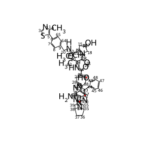 Cc1ncsc1-c1ccc(CNC(=O)[C@@H]2C[C@@H](O)CN2C(=O)[C@@H](NC(=O)[C@@H]2CC=C(c3cnc(N4C5CCC4CN(c4cc(-c6ccccc6O)nnc4N)C5)nc3)CC2)C(C)(C)C)cc1